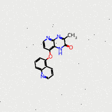 Cc1nc2nccc(Oc3cccc4ncccc34)c2[nH]c1=O